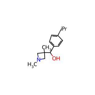 CC(C)c1ccc(C(O)C2(C)CN(C)C2)cc1